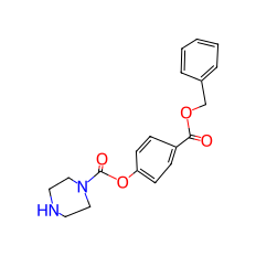 O=C(OCc1ccccc1)c1ccc(OC(=O)N2CCNCC2)cc1